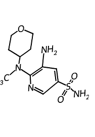 CN(c1ncc(S(N)(=O)=O)cc1N)C1CCOCC1